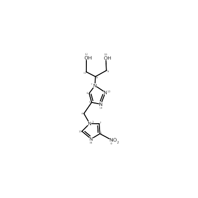 O=[N+]([O-])c1cn(Cc2cn(C(CO)CO)nn2)cn1